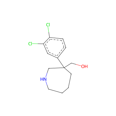 OCC1(c2ccc(Cl)c(Cl)c2)CCCCNC1